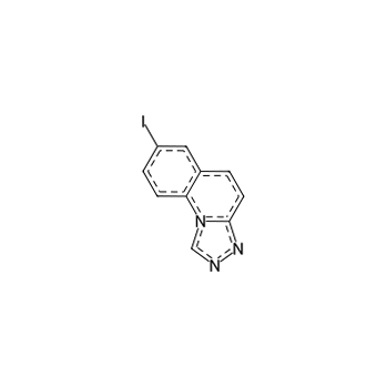 Ic1ccc2c(ccc3nncn32)c1